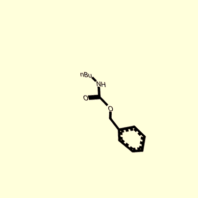 CC[CH]CNC(=O)OCc1ccccc1